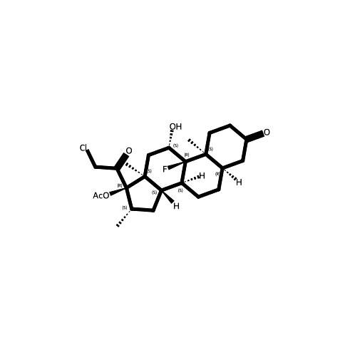 CC(=O)O[C@]1(C(=O)CCl)[C@@H](C)C[C@H]2[C@@H]3CC[C@@H]4CC(=O)CC[C@]4(C)[C@@]3(F)[C@@H](O)C[C@@]21C